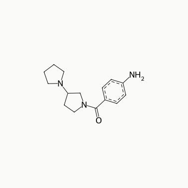 Nc1ccc(C(=O)N2CCC(N3CCCC3)C2)cc1